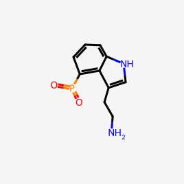 NCCc1c[nH]c2cccc(P(=O)=O)c12